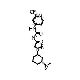 CN(C)[C@H]1CCC[C@@H]([n+]2cc([N-]C(=O)Nc3ccnc(C(F)(F)F)c3)on2)C1